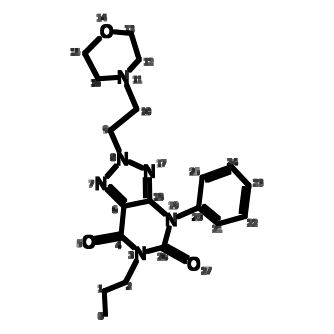 CCCn1c(=O)c2nn(CCN3CCOCC3)nc2n(-c2ccccc2)c1=O